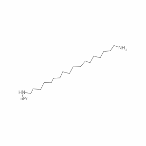 CCCNCCCCCCCCCCCCCCCCCCN